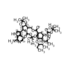 CCC(CC)O[C@@H]1C=C(C(=O)OCC2C3OC(C)(C)OC3C(c3c[nH]c4c(N)ncnc34)N2C(=O)OC(C)(C)C)C[C@H](NC(=O)OC(C)(C)C)[C@H]1NC(C)=O